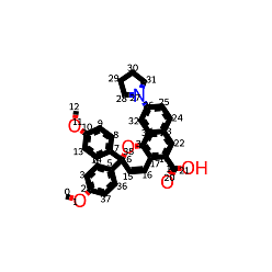 COc1ccc(C2(c3ccc(OC)cc3)C=Cc3c(C(=O)O)cc4ccc(N5CCCC5)cc4c3O2)cc1